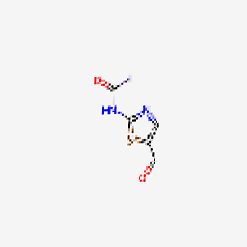 O=Cc1cnc(NC(=O)I)s1